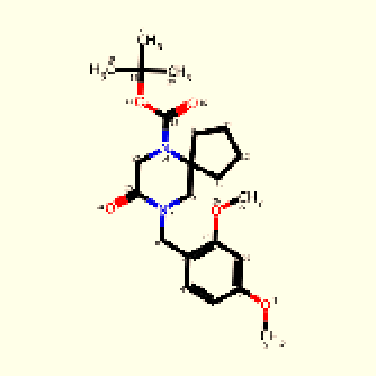 COc1ccc(CN2CC3(CCCC3)N(C(=O)OC(C)(C)C)CC2=O)c(OC)c1